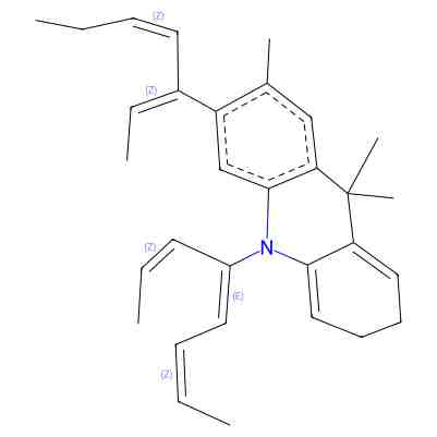 C\C=C/C=C(\C=C/C)N1C2=CCCC=C2C(C)(C)c2cc(C)c(C(/C=C\CC)=C\C)cc21